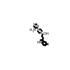 Cl.Nc1cncnc1N1CCN(CCCc2c[nH]c3ccc(F)cc23)CC1